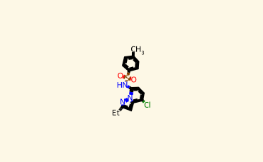 CCc1cc2c(Cl)ccc(NS(=O)(=O)c3ccc(C)cc3)n2n1